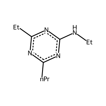 CCCc1nc(CC)nc(NCC)n1